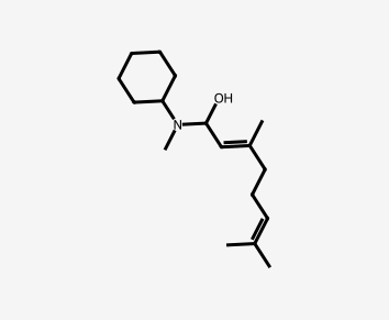 CC(C)=CCC/C(C)=C/C(O)N(C)C1CCCCC1